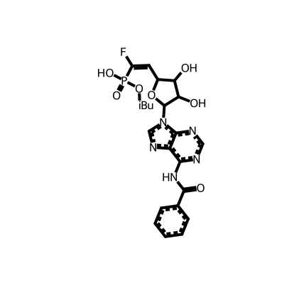 CCC(C)OP(=O)(O)C(F)=CC1OC(n2cnc3c(NC(=O)c4ccccc4)ncnc32)C(O)C1O